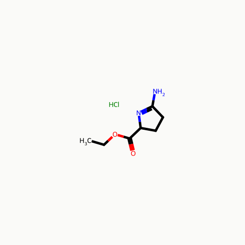 CCOC(=O)C1CCC(N)=N1.Cl